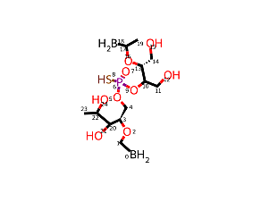 BCO[C@H](COP(=O)(S)OC(CO)[C@@H](CO)OC(B)C)C(O)C(C)O